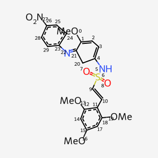 COC1=CC=C(NS(=O)(=O)/C=C/c2c(OC)cc(OC)cc2OC)C/C1=N/c1ccc([N+](=O)[O-])cc1